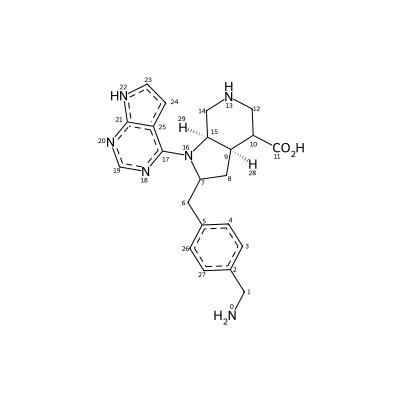 NCc1ccc(CC2C[C@@H]3C(C(=O)O)CNC[C@@H]3N2c2ncnc3[nH]ccc23)cc1